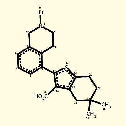 CCN1CCc2c(cccc2-c2sc3c(c2C(=O)O)CC(C)(C)CC3)C1